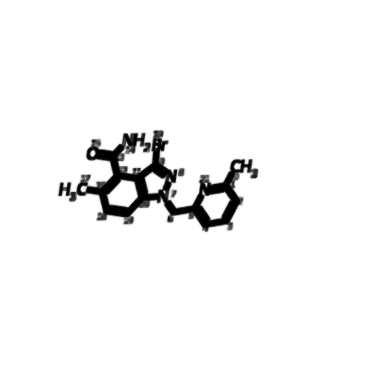 Cc1cccc(Cn2nc(Br)c3c(C(N)=O)c(C)ccc32)n1